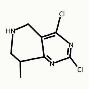 CC1CNCc2c(Cl)nc(Cl)nc21